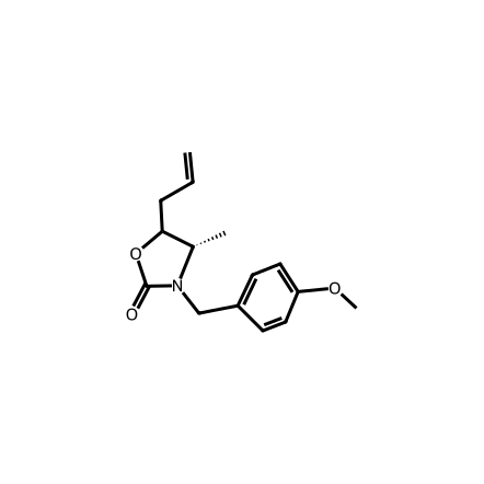 C=CCC1OC(=O)N(Cc2ccc(OC)cc2)[C@H]1C